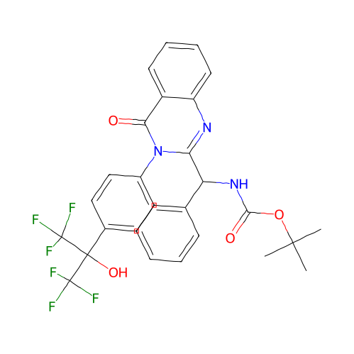 CC(C)(C)OC(=O)NC(c1ccccc1)c1nc2ccccc2c(=O)n1-c1ccc(C(O)(C(F)(F)F)C(F)(F)F)cc1